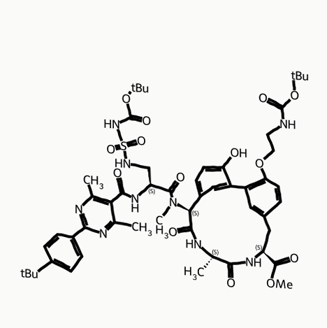 COC(=O)[C@@H]1Cc2ccc(OCCNC(=O)OC(C)(C)C)c(c2)-c2cc(ccc2O)[C@H](N(C)C(=O)[C@H](CNS(=O)(=O)NC(=O)OC(C)(C)C)NC(=O)c2c(C)nc(-c3ccc(C(C)(C)C)cc3)nc2C)C(=O)N[C@@H](C)C(=O)N1